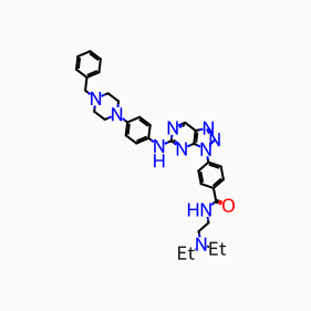 CCN(CC)CCNC(=O)c1ccc(-n2nnc3cnc(Nc4ccc(N5CCN(Cc6ccccc6)CC5)cc4)nc32)cc1